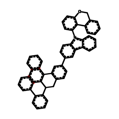 c1ccc(-c2cccc(-c3ccccc3C3Cc4ccc(-c5ccc6c(c5)c5ccccc5n6-c5cccc6c5-c5ccccc5CO6)cc4-c4ccccc43)c2)cc1